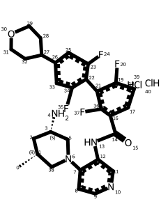 C[C@@H]1C[C@H](N)CN(c2ccncc2NC(=O)c2ccc(F)c(-c3c(F)cc(C4CCOCC4)cc3F)c2F)C1.Cl.Cl